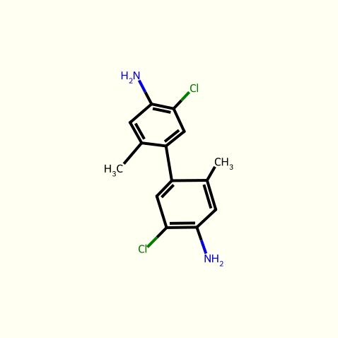 Cc1cc(N)c(Cl)cc1-c1cc(Cl)c(N)cc1C